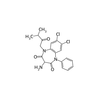 CC(C)C(=O)CN1C(=O)C(N)C(=O)N(c2ccccc2)c2cc(Cl)c(Cl)cc21